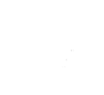 Cc1cc(O)c(-c2cc(C)c(-c3cc(C4CCCCC4)c(C)cc3O)c(O)c2O)cc1C1CCCCC1